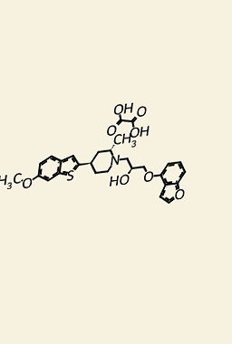 COc1ccc2cc([C@@H]3CCN(C[C@H](O)COc4cccc5occc45)[C@@H](C)C3)sc2c1.O=C(O)C(=O)O